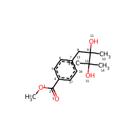 COC(=O)c1ccc(CC(C)(O)C(C)(C)O)cc1